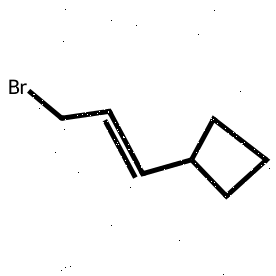 BrCC=CC1CCC1